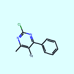 [2H]c1c(C)nc(Cl)nc1-c1ccccc1